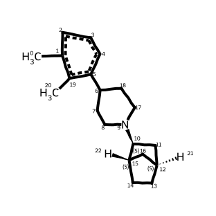 Cc1cccc(C2CCN([C@H]3C[C@H]4CC[C@H]3C4)CC2)c1C